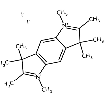 CC1=[N+](C)c2cc3c(cc2C1(C)C)[N+](C)=C(C)C3(C)C.[I-].[I-]